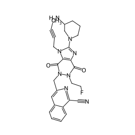 CC#CCn1c(N2CCCC(N)C2)nc2c(=O)n(CCF)n(Cc3cc4ccccc4c(C#N)n3)c(=O)c21